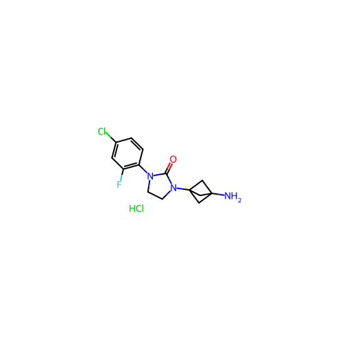 Cl.NC12CC(N3CCN(c4ccc(Cl)cc4F)C3=O)(C1)C2